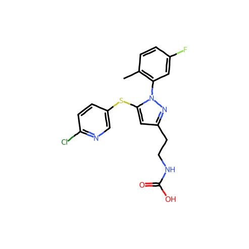 Cc1ccc(F)cc1-n1nc(CCNC(=O)O)cc1Sc1ccc(Cl)nc1